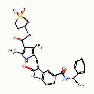 Cc1[nH]c(/C=C2\C(=O)Nc3ccc(C(=O)N[C@H](C)c4ccccc4)cc32)c(C)c1C(=O)NC1CCS(=O)(=O)CC1